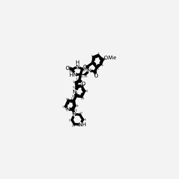 COc1ccc2c(c1)C(=O)N(C[C@@]1(c3cc4nc(-c5ccnc(N6CCNCC6)c5)ccc4o3)NC(=O)NC1=O)C2